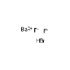 Br.[Ba+2].[F-].[F-]